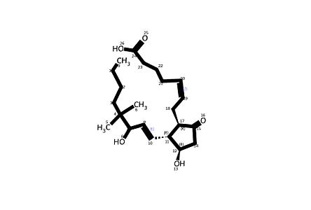 CCCCC(C)(C)C(O)/C=C/[C@H]1[C@H](O)CC(=O)[C@@H]1C/C=C\CCCC(=O)O